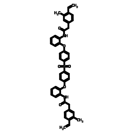 C=Cc1ccc(CC(=O)Nc2ccccc2Oc2ccc(S(=O)(=O)c3ccc(Oc4ccccc4NC(=O)Cc4ccc(C=C)c(C)c4)cc3)cc2)cc1C